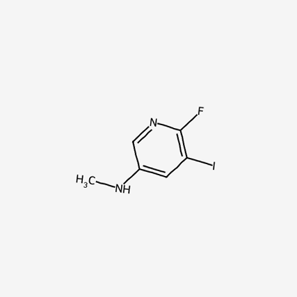 CNc1cnc(F)c(I)c1